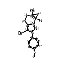 Fc1ccc(-c2nn3c(c2Br)CC[C@@H]2C[C@@H]23)nc1